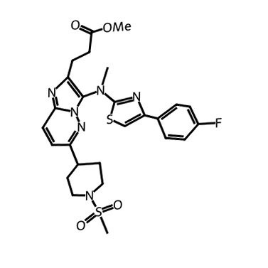 COC(=O)CCc1nc2ccc(C3CCN(S(C)(=O)=O)CC3)nn2c1N(C)c1nc(-c2ccc(F)cc2)cs1